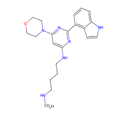 O=C(O)NCCCCNc1cc(N2CCOCC2)nc(-c2cccc3[nH]ccc23)n1